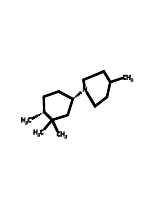 CC1CCN([C@H]2CC[C@@H](C)C(C)(C)C2)CC1